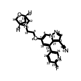 N#Cc1cnn2cc(OCCN3C[C@@H]4C[C@H]3CO4)cc(-c3ccc(F)nc3)c12